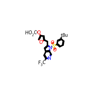 CC(C)(C)c1cccc(S(=O)(=O)n2c(Cc3cc(OC(=O)O)co3)cc3cc(C(F)(F)F)ncc32)c1